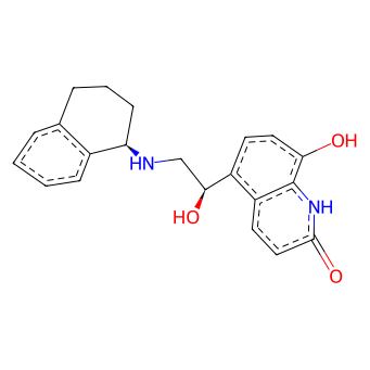 O=c1ccc2c([C@@H](O)CN[C@@H]3CCCc4ccccc43)ccc(O)c2[nH]1